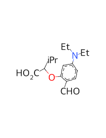 CCN(CC)c1ccc(C=O)c(OC(C(=O)O)C(C)C)c1